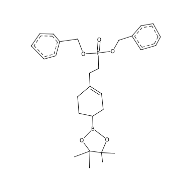 CC1(C)OB(C2CC=C(CCP(=O)(OCc3ccccc3)OCc3ccccc3)CC2)OC1(C)C